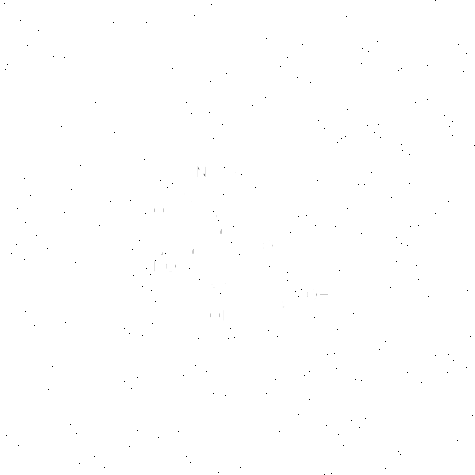 CN(C)C(=O)[C@@H]1CO[C@H](CO)[C@H](O)[C@@H]1O